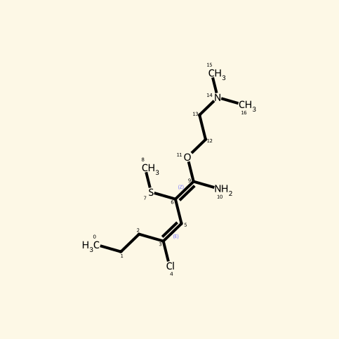 CCC/C(Cl)=C\C(SC)=C(/N)OCCN(C)C